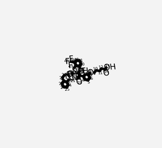 Cc1c(-c2cccc(OCCCCC(=O)O)c2F)c(=O)n(C[C@H]2c3ccccc3CCN2C)c(=O)n1Cc1c(F)cccc1C(F)(F)F